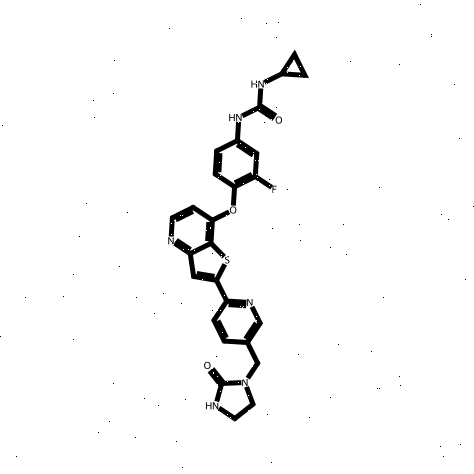 O=C(Nc1ccc(Oc2ccnc3cc(-c4ccc(CN5CCNC5=O)cn4)sc23)c(F)c1)NC1CC1